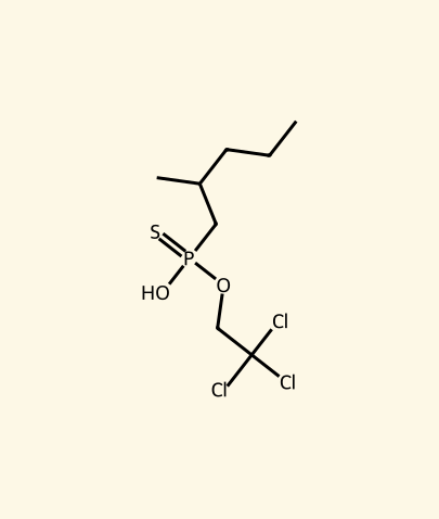 CCCC(C)CP(O)(=S)OCC(Cl)(Cl)Cl